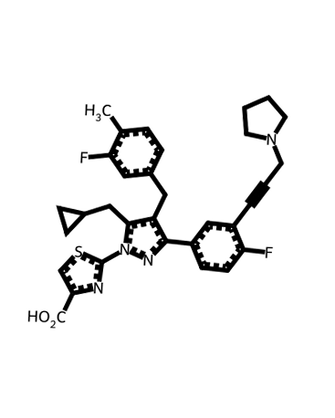 Cc1ccc(Cc2c(-c3ccc(F)c(C#CCN4CCCC4)c3)nn(-c3nc(C(=O)O)cs3)c2CC2CC2)cc1F